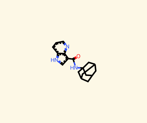 O=C(NC12CC3CC(CC(C3)C1)C2)c1c[nH]c2cccnc12